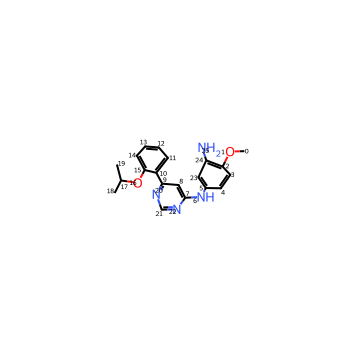 COc1ccc(Nc2cc(-c3ccccc3OC(C)C)ncn2)cc1N